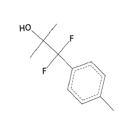 Cc1ccc(C(F)(F)C(C)(C)O)cc1